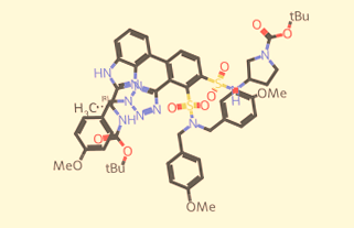 COc1ccc(CN(Cc2ccc(OC)cc2)S(=O)(=O)c2c(S(=O)(=O)NC3CCN(C(=O)OC(C)(C)C)C3)ccc(-c3cccc4[nH]c([C@@H](C)NC(=O)OC(C)(C)C)nc34)c2-c2nnn(Cc3ccc(OC)cc3)n2)cc1